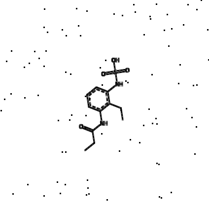 CCC(=O)Nc1cccc(NS(=O)(=O)O)c1CC